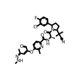 CN/N=C(C)\C=C(/C=O)Oc1ccc(C(=O)N[C@H](C)C(=O)N2C(c3ccc(F)c(Cl)c3)CCC2C(C)(C)C#N)nc1C